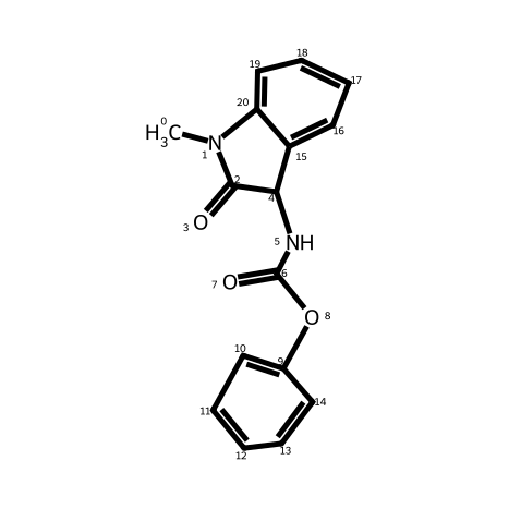 CN1C(=O)C(NC(=O)Oc2ccccc2)c2ccccc21